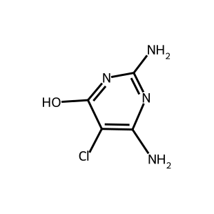 Nc1nc(N)c(Cl)c(O)n1